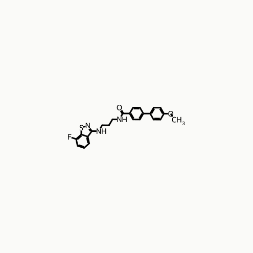 COc1ccc(-c2ccc(C(=O)NCCCNc3nsc4c(F)cccc34)cc2)cc1